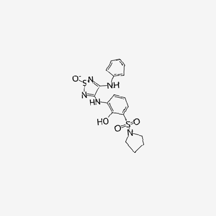 O=S(=O)(c1cccc(Nc2n[s+]([O-])nc2Nc2ccccc2)c1O)N1CCCC1